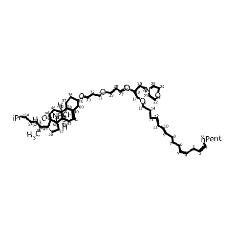 CCCCC/C=C\C/C=C\CCCCCCCCCCOCC(CN1CCOCC1)OCCCOCCCO[C@H]1CC[C@@]2(C)C(=CC[C@@H]3[C@@H]2CC[C@]2(C)[C@@H]([C@H](C)CCCC(C)C)CC[C@@]32N)C1